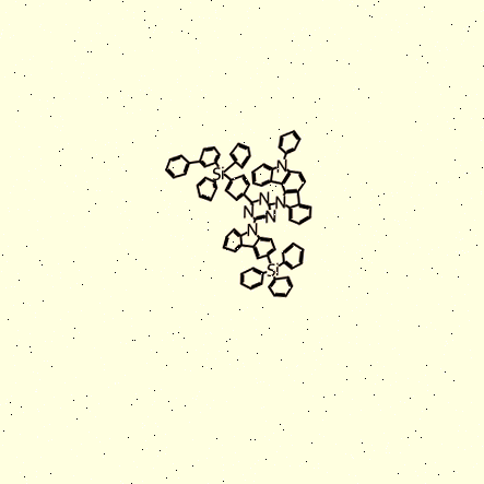 c1ccc(-c2cccc([Si](c3ccccc3)(c3ccccc3)c3ccc(-c4nc(-n5c6ccccc6c6cc([Si](c7ccccc7)(c7ccccc7)c7ccccc7)ccc65)nc(-n5c6ccccc6c6ccc7c(c8ccccc8n7-c7ccccc7)c65)n4)cc3)c2)cc1